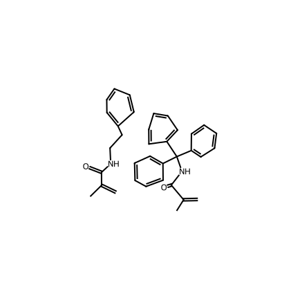 C=C(C)C(=O)NC(c1ccccc1)(c1ccccc1)c1ccccc1.C=C(C)C(=O)NCCc1ccccc1